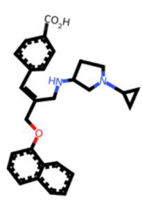 O=C(O)c1ccc(/C=C(\CNC2CCN(C3CC3)C2)COc2cccc3ccccc23)cc1